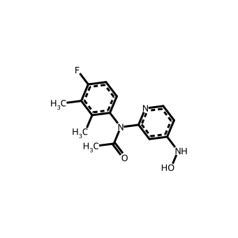 CC(=O)N(c1cc(NO)ccn1)c1ccc(F)c(C)c1C